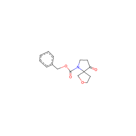 O=C(OCc1ccccc1)N1CCC(=O)C12CCOC2